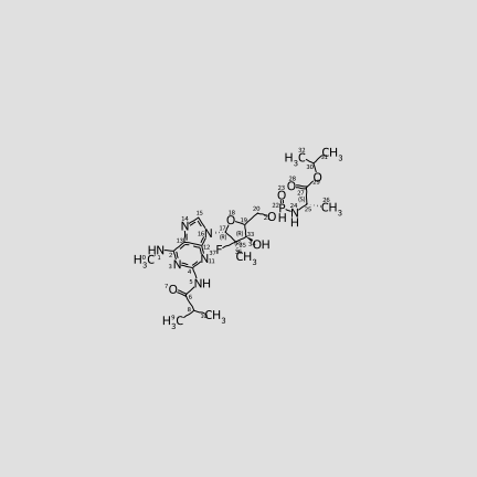 CNc1nc(NC(=O)C(C)C)nc2c1ncn2[C@@H]1OC(CO[PH](=O)N[C@@H](C)C(=O)OC(C)C)[C@@H](O)[C@@]1(C)F